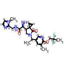 Cc1cc(C(C)N2CC(C(=N)C(=O)NCc3nccn3C)C3(C=C3)C2=O)cnc1OCC(C)(F)F